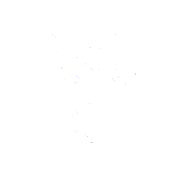 Cc1noc(C)c1-c1ccn2c(-c3cc(C(=O)N(C)C)ns3)c(C3CCCC(=O)N3c3ccc(F)c(F)c3)nc2c1